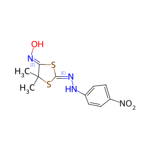 CC1(C)S/C(=N\Nc2ccc([N+](=O)[O-])cc2)S/C1=N\O